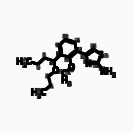 CCCOC(CCC)c1cccc(-c2csc(N)n2)c1OC